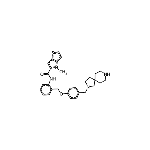 Cn1c(C(=O)Nc2ccccc2COc2ccc(CN3CCC4(CCNCC4)C3)cc2)cc2sccc21